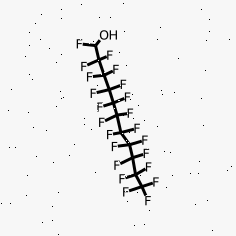 OC(F)C(F)(F)C(F)(F)C(F)(F)C(F)(F)C(F)(F)C(F)(F)C(F)(F)C(F)(F)C(F)(F)C(F)(F)F